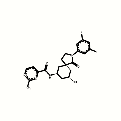 Cc1nccc(C(=O)N[C@@H]2C[C@@H](O)C[C@@]3(CCN(c4cc(F)cc(F)c4)C3=O)C2)n1